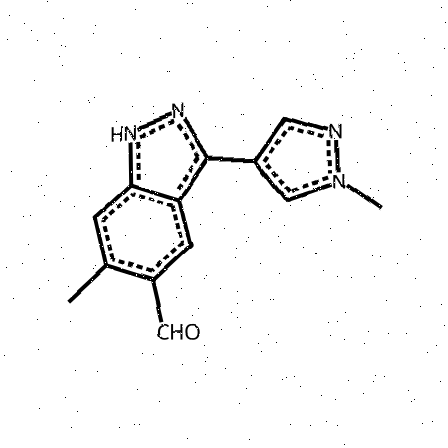 Cc1cc2[nH]nc(-c3cnn(C)c3)c2cc1C=O